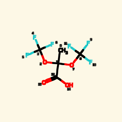 CC(OC(F)(F)F)(OC(F)(F)F)C(=O)O